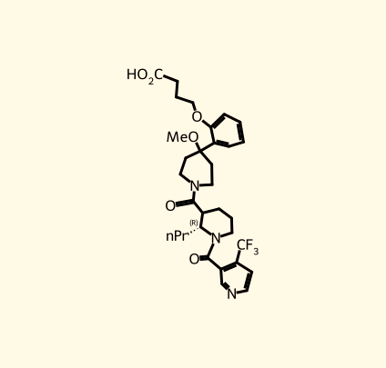 CCC[C@@H]1C(C(=O)N2CCC(OC)(c3ccccc3OCCCC(=O)O)CC2)CCCN1C(=O)c1cnccc1C(F)(F)F